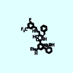 CCNc1cc(C(=O)N[C@@H](Cc2ccccc2)[C@H](O)CNCc2cc(F)cc(C(F)(F)F)c2)cc(N2CCCCS2(O)O)c1